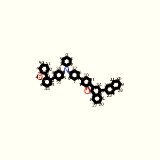 c1ccc(N(c2ccc(-c3ccc4c(c3)oc3c5ccccc5c(-c5ccc6ccccc6c5)cc43)cc2)c2ccc(-c3cccc4oc5ccccc5c34)cc2)cc1